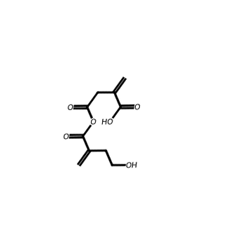 C=C(CC(=O)OC(=O)C(=C)CCO)C(=O)O